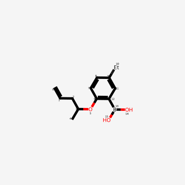 C=CCC(C)Oc1ccc(CC)cc1B(O)O